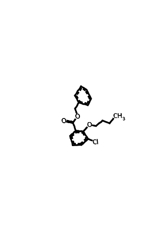 CCCCOc1c(Cl)cccc1C(=O)OCc1ccccc1